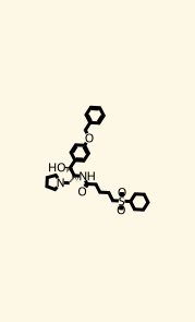 O=C(CCCCS(=O)(=O)C1CCCCC1)N[C@H](CN1CCCC1)[C@H](O)c1ccc(OCc2ccccc2)cc1